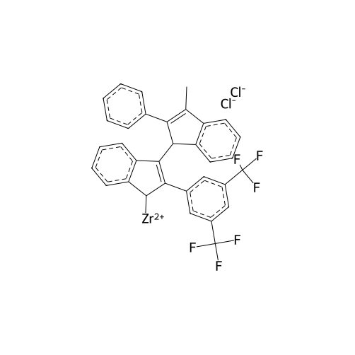 CC1=C(c2ccccc2)C(C2=C(c3cc(C(F)(F)F)cc(C(F)(F)F)c3)[CH]([Zr+2])c3ccccc32)c2ccccc21.[Cl-].[Cl-]